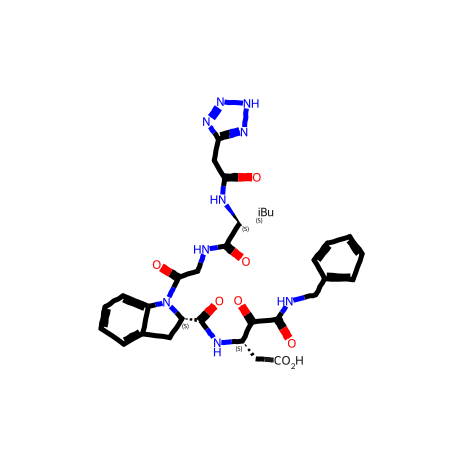 CC[C@H](C)[C@H](NC(=O)Cc1nn[nH]n1)C(=O)NCC(=O)N1c2ccccc2C[C@H]1C(=O)N[C@@H](CC(=O)O)C(=O)C(=O)NCc1ccccc1